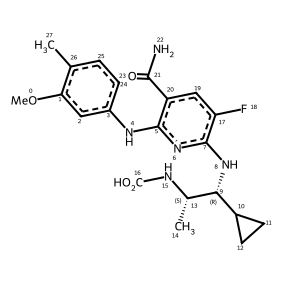 COc1cc(Nc2nc(N[C@H](C3CC3)[C@H](C)NC(=O)O)c(F)cc2C(N)=O)ccc1C